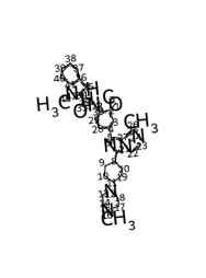 COc1cc(-c2nc(C3CCC(N4CCN(C)CC4)CC3)n3ccnc(C)c23)ccc1NC(=O)c1cc2ccccc2n1C